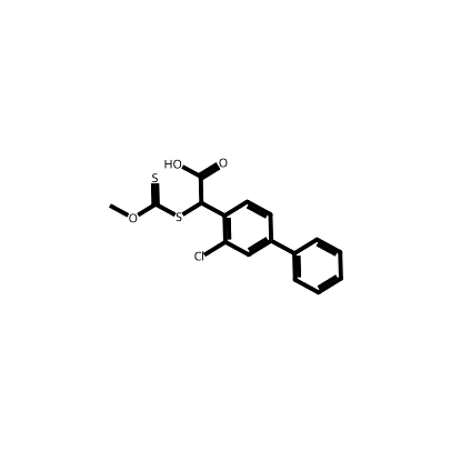 COC(=S)SC(C(=O)O)c1ccc(-c2ccccc2)cc1Cl